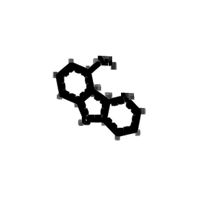 Nc1cccc2oc3cccnc3c12